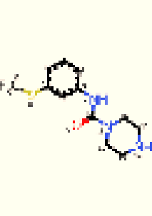 O=C(Nc1cccc(SC(F)(F)F)c1)N1CCNCC1